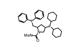 CNC(=O)N1CC(P(C2CCCCC2)C2CCCCC2)CC1CP(c1ccccc1)c1ccccc1